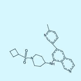 Cc1ccc(-c2cc(NC3CCN(S(=O)(=O)C4CCC4)CC3)c3cnccc3c2)cn1